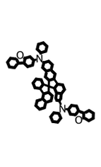 c1ccc(N(c2ccc3cc4c(cc3c2)C2(c3ccccc3-c3c2ccc2ccccc32)c2c-4ccc3cc(N(c4ccccc4)c4ccc5c(c4)oc4ccccc45)ccc23)c2ccc3c(c2)oc2ccccc23)cc1